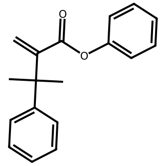 C=C(C(=O)Oc1ccccc1)C(C)(C)c1ccccc1